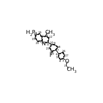 CCOc1ccc(-c2ccc(-c3cc(C)c4cc(P)ccc4n3)cc2F)cc1